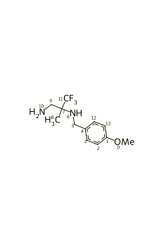 COc1ccc(CNC(C)(CN)C(F)(F)F)cc1